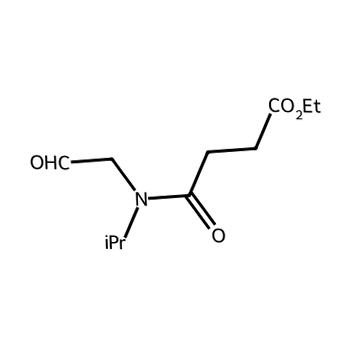 CCOC(=O)CCC(=O)N(CC=O)C(C)C